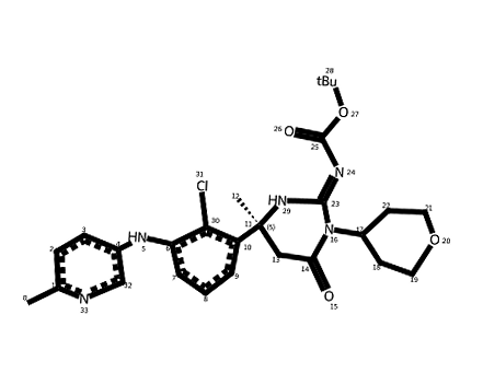 Cc1ccc(Nc2cccc([C@]3(C)CC(=O)N(C4CCOCC4)C(=NC(=O)OC(C)(C)C)N3)c2Cl)cn1